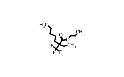 CCCCCC(CC)(C(=O)OCCC)C(F)(F)F